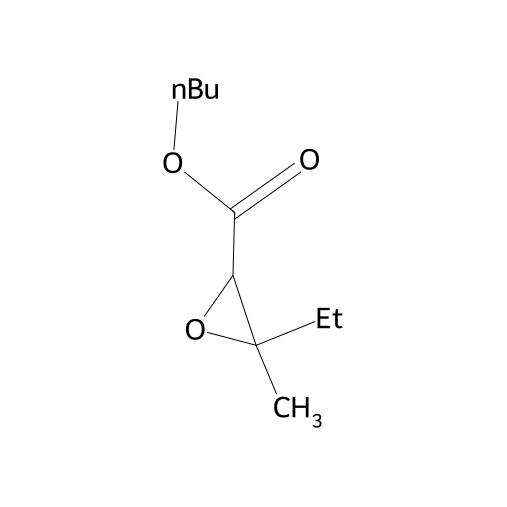 CCCCOC(=O)C1OC1(C)CC